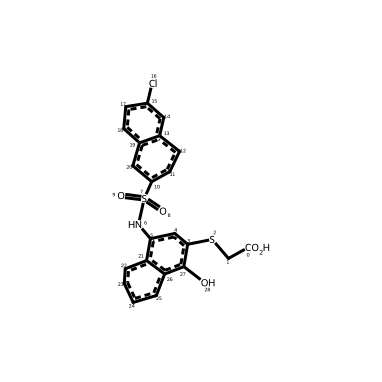 O=C(O)CSc1cc(NS(=O)(=O)c2ccc3cc(Cl)ccc3c2)c2ccccc2c1O